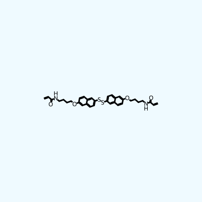 C=CC(=O)NCCCCOc1ccc2cc(SSc3ccc4cc(OCCCCNC(=O)C=C)ccc4c3)ccc2c1